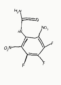 NC(=O)Nc1c([N+](=O)[O-])c(F)c(F)c(F)c1[N+](=O)[O-]